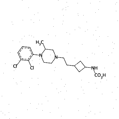 CC1CN(CCC2CC(NC(=O)O)C2)CCN1c1cccc(Cl)c1Cl